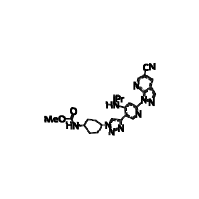 COC(=O)N[C@H]1CC[C@H](n2cc(-c3cnc(-n4ncc5cc(C#N)cnc54)cc3NC(C)C)nn2)CC1